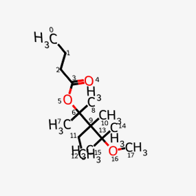 CCCC(=O)OC(C)(C)C(C)(CC)C(C)(C)OC